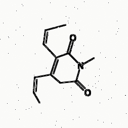 C/C=C\C1=C(/C=C\C)C(=O)N(C)C(=O)C1